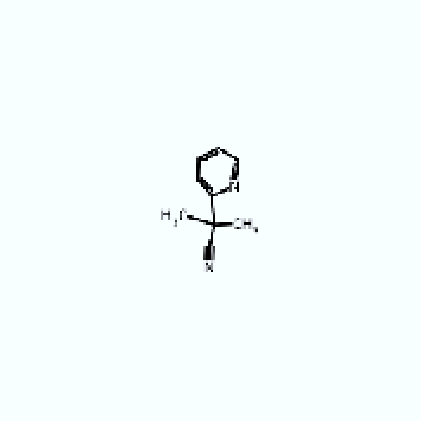 CC(C)(C#N)c1ccccn1